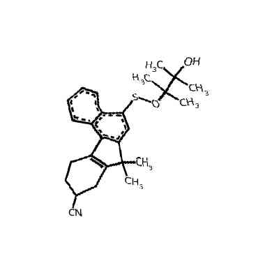 CC1(C)C2=C(CCC(C#N)C2)c2c1cc(SOC(C)(C)C(C)(C)O)c1ccccc21